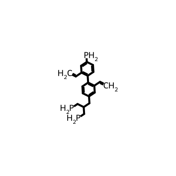 C=Cc1cc(P)ccc1-c1ccc(CC(CP)CP)cc1C=C